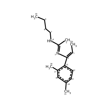 C/C=C(\N=C(/C)NCCCC)c1ccc(C)cc1C